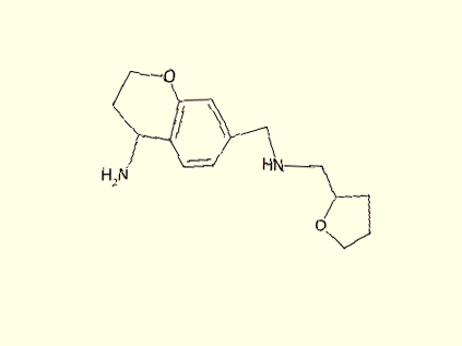 NC1CCOc2cc(CNCC3CCCO3)ccc21